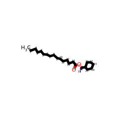 CCCCCCCCCCCCCCCC(=O)OC(I)C1CCCCC1